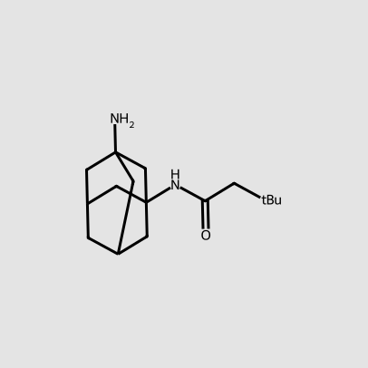 CC(C)(C)CC(=O)NC12CC3CC(CC(N)(C3)C1)C2